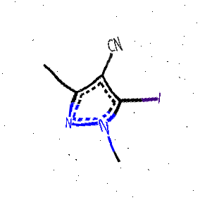 Cc1nn(C)c(I)c1C#N